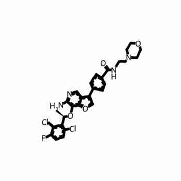 C[C@@H](Oc1c(N)ncc2c(-c3ccc(C(=O)NCCN4CCOCC4)cc3)coc12)c1c(Cl)ccc(F)c1Cl